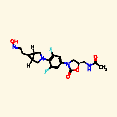 CC(=O)NC[C@H]1CN(c2cc(F)c(N3C[C@@H]4C(CC=NO)[C@@H]4C3)c(F)c2)C(=O)O1